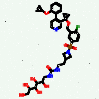 O=C(NCCC1CN(S(=O)(=O)c2ccc(Cl)c(COC3(c4cnccc4-c4ccccc4OC4CC4)CC3)c2)C1)NCC(O)C(O)C(O)C(O)CO